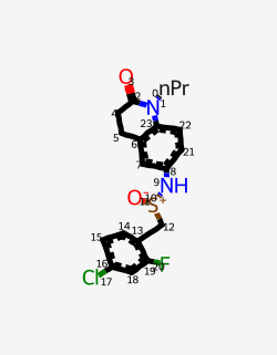 CCCN1C(=O)CCc2cc(N[S+]([O-])Cc3ccc(Cl)cc3F)ccc21